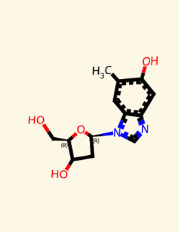 Cc1cc2c(cc1O)ncn2[C@H]1CC(O)[C@@H](CO)O1